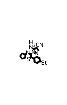 CCc1ccc(C(=S)C(=NC2CCCC2)n2ncc(C#N)c2N)cc1